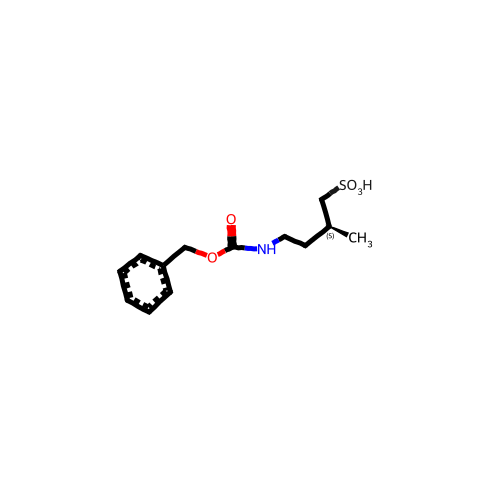 C[C@@H](CCNC(=O)OCc1ccccc1)CS(=O)(=O)O